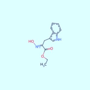 CCOC(=O)/C(Cc1c[nH]c2ccccc12)=N/O